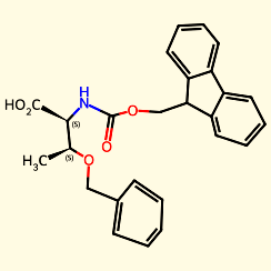 C[C@H](OCc1ccccc1)[C@H](NC(=O)OCC1c2ccccc2-c2ccccc21)C(=O)O